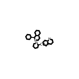 O=C(O)c1ccccn1.c1ccc(-c2nccc3ccccc23)cc1.c1ccc2ncccc2c1